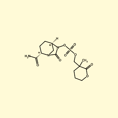 CC1(COS(=O)(=O)ON2C(=O)N3C[C@H]2CC[C@H]3C(N)=O)CCCOC1=O